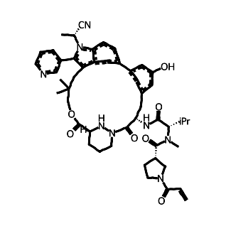 C=CC(=O)N1CC[C@H](C(=O)N(C)[C@H](C(=O)N[C@H]2Cc3cc(O)cc(c3)-c3ccc4c(c3)c(c(-c3cccnc3)n4[C@H](C)C#N)CC(C)(C)COC(=O)[C@@H]3CCCN(N3)C2=O)C(C)C)C1